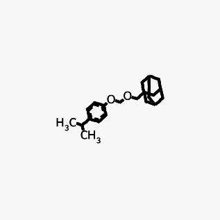 CC(C)c1ccc(OCOCC23CC4CC(CC(C4)C2)C3)cc1